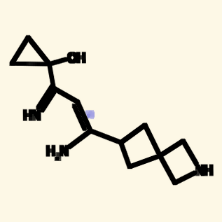 N=C(/C=C(\N)C1CC2(CNC2)C1)C1(O)CC1